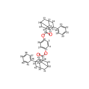 O=C(Oc1ccc(OC(=O)C23CC4CC(C2)CC(c2ccccc2)(C4)C3)cc1)C12CC3CC(C1)CC(c1ccccc1)(C3)C2